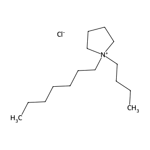 CCCCCCC[N+]1(CCCC)CCCC1.[Cl-]